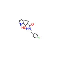 O=C(NCCc1ccc(F)cc1)c1ccc2cccnc2c1O